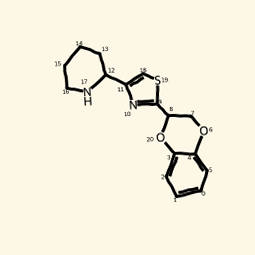 c1ccc2c(c1)OCC(c1nc(C3CCCCN3)cs1)O2